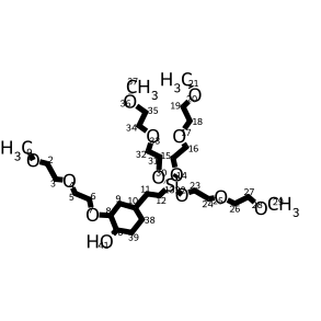 COCCOCCOC1CC(CC[Si](OCCOCCOC)(OCCOCCOC)OCCOCCOC)CCC1O